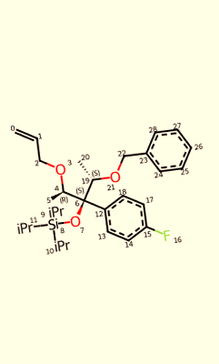 C=CCO[C@H](C)[C@@](O[Si](C(C)C)(C(C)C)C(C)C)(c1ccc(F)cc1)[C@H](C)OCc1ccccc1